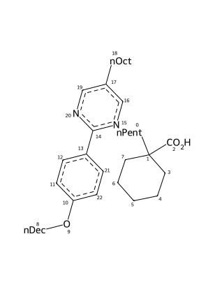 CCCCCC1(C(=O)O)CCCCC1.CCCCCCCCCCOc1ccc(-c2ncc(CCCCCCCC)cn2)cc1